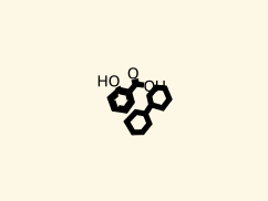 C1CCC(C2CCCCC2)CC1.O=C(O)c1ccccc1O